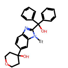 CCn1c(C(O)(c2ccccc2)c2ccccc2)nc2ccc(C3(O)CCOCC3)cc21